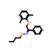 CCCCO/N=C(\COc1c(C)cccc1C)c1ccccc1